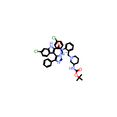 C[C@@H](c1ccc(Cl)cc1)n1cnc(-c2ccccc2)c1-c1c(C(=O)Nc2ccccc2CN2CCCC(NC(=O)OC(C)(C)C)C2)[nH]c2cc(Cl)ccc12